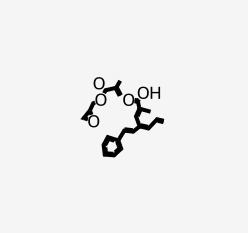 C=C(C)C(=O)OCC1CO1.C=CC=C(C=Cc1ccccc1)C=C(C)C(=O)O